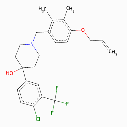 C=CCOc1ccc(CN2CCC(O)(c3ccc(Cl)c(C(F)(F)F)c3)CC2)c(C)c1C